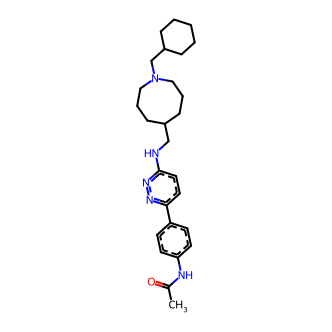 CC(=O)Nc1ccc(-c2ccc(NCC3CCCN(CC4CCCCC4)CCC3)nn2)cc1